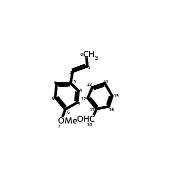 CC=Cc1ccc(OC)cc1.O=Cc1ccccc1